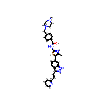 Cc1nc(NC(=O)c2ccc(CN3CCN(C)CC3)cc2)sc1-c1ccc2c(C=Cc3ccccn3)n[nH]c2c1